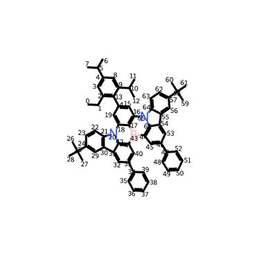 CCc1cc(C(C)C)cc(C(C)C)c1-c1cc2c3c(c1)-n1c4ccc(C(C)(C)C)cc4c4cc(-c5ccccc5)cc(c41)B3c1cc(-c3ccccc3)cc3c4cc(C(C)(C)C)ccc4n-2c13